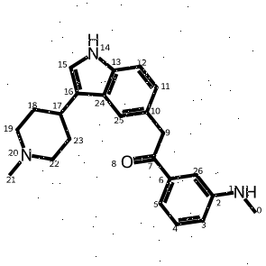 CNc1cccc(C(=O)Cc2ccc3[nH]cc(C4CCN(C)CC4)c3c2)c1